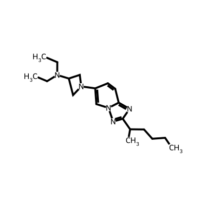 CCCCC(C)c1nc2ccc(N3CC(N(CC)CC)C3)cn2n1